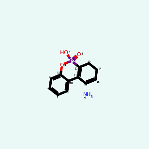 N.O=P1(O)Oc2ccccc2C2=C1CCC=C2